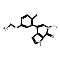 CCSc1ccc(F)c(-c2cn(C)c(=O)c3[nH]ccc23)c1